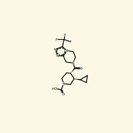 O=C(O)N1CC[C@@H](C(=O)N2CCn3c(nnc3C(F)(F)F)C2)[C@@H](C2CC2)C1